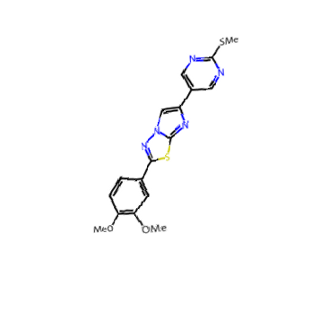 COc1ccc(-c2nn3cc(-c4cnc(SC)nc4)nc3s2)cc1OC